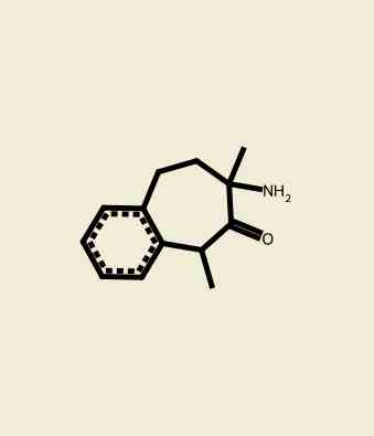 CC1C(=O)C(C)(N)CCc2ccccc21